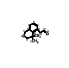 CC1(C)COCc2cccc(CC=O)c21